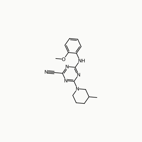 COc1ccccc1Nc1nc(C#N)nc(N2CCCC(C)C2)n1